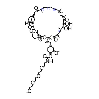 COCCOCCOCCOCCNC(=O)O[C@@H]1CC[C@@H](C[C@@H](C)[C@@H]2C[C@@H](OC)[C@H](C)/C=C(\C)[C@@H](O)[C@@H](O)C(=O)[C@H](C)C[C@H](C)/C=C/C=C/C=C(\C)[C@@H](OC)C[C@@H]3CC[C@@H](C)[C@@](O)(O3)C(=O)C(=O)N3CCCC[C@H]3C(=O)O2)C[C@H]1OC